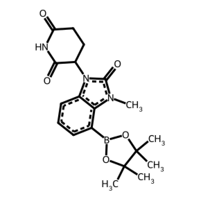 Cn1c(=O)n(C2CCC(=O)NC2=O)c2cccc(B3OC(C)(C)C(C)(C)O3)c21